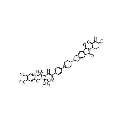 CC1(C)[C@H](NC(=O)c2ccc(N3CCC(N4Cc5cc6c(cc5C4)C(=O)N(C4CCC(=O)NC4=O)C6=O)CC3)cc2)C(C)(C)[C@H]1Oc1ccc(C#N)c(C(F)(F)F)c1